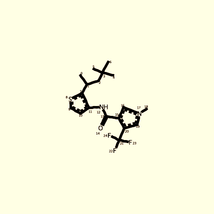 CC(CC(C)(C)C)c1sccc1NC(=O)c1cn(C)cc1C(F)(F)F